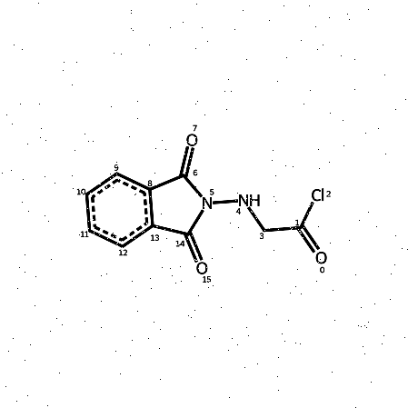 O=C(Cl)CNN1C(=O)c2ccccc2C1=O